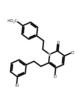 CCc1cccc(CCc2c(Cl)cc(Cl)c(=O)n2CCc2ccc(C(=O)O)cc2)c1